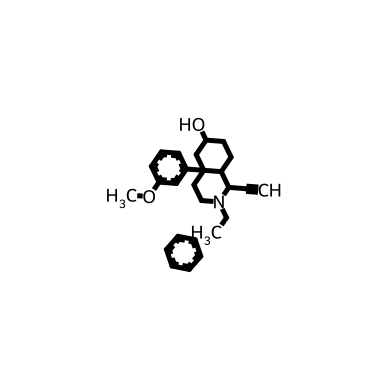 C#CC1C2CCC(O)CC2(c2cccc(OC)c2)CCN1CC.c1ccccc1